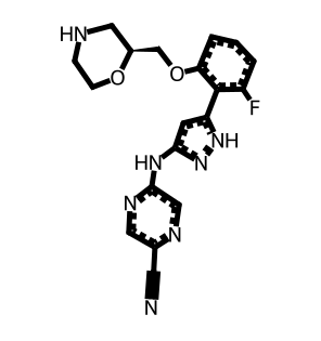 N#Cc1cnc(Nc2cc(-c3c(F)cccc3OC[C@@H]3CNCCO3)[nH]n2)cn1